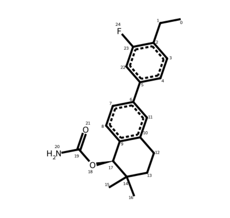 CCc1ccc(-c2ccc3c(c2)CCC(C)(C)[C@H]3OC(N)=O)cc1F